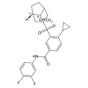 C[C@@]1(O)C2CC[C@H]1CC(S(=O)(=O)c1cc(C(=O)Nc3ccc(F)c(F)c3)ccc1C1CC1)C2